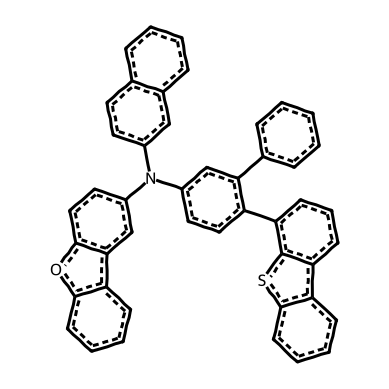 c1ccc(-c2cc(N(c3ccc4ccccc4c3)c3ccc4oc5ccccc5c4c3)ccc2-c2cccc3c2sc2ccccc23)cc1